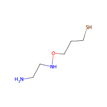 NCCNOCCCS